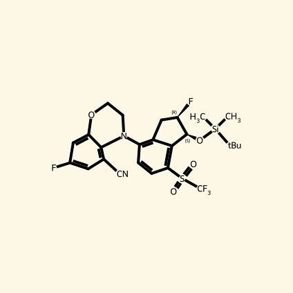 CC(C)(C)[Si](C)(C)O[C@H]1c2c(S(=O)(=O)C(F)(F)F)ccc(N3CCOc4cc(F)cc(C#N)c43)c2C[C@H]1F